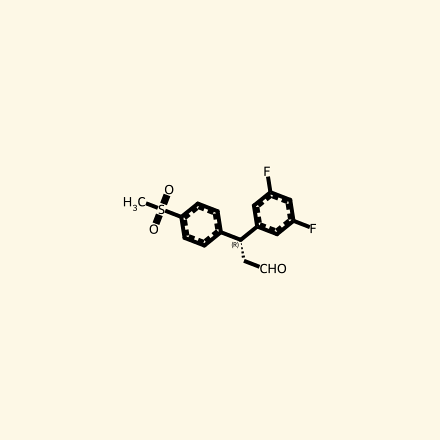 CS(=O)(=O)c1ccc([C@@H](CC=O)c2cc(F)cc(F)c2)cc1